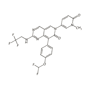 Cn1cc(-n2cc3cnc(NCC(F)(F)F)nc3c(-c3ccc(OC(F)F)cc3)c2=O)ccc1=O